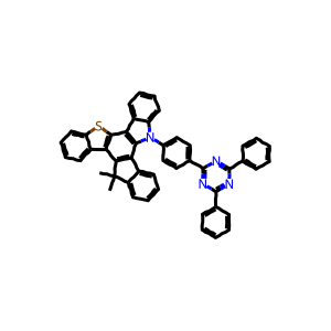 CC1(C)c2ccccc2-c2c1c1c3ccccc3sc1c1c3ccccc3n(-c3ccc(-c4nc(-c5ccccc5)nc(-c5ccccc5)n4)cc3)c21